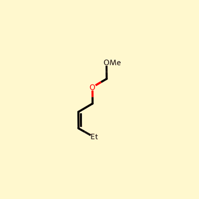 CC/C=C\COCOC